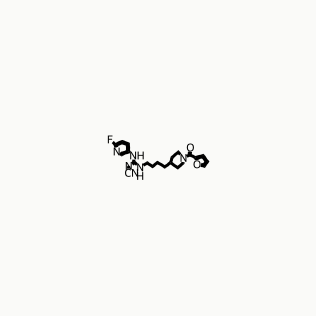 N#C/N=C(\NCCCCC1CCN(C(=O)c2ccco2)CC1)Nc1ccc(F)nc1